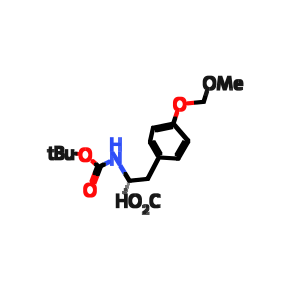 COCOc1ccc(C[C@@H](NC(=O)OC(C)(C)C)C(=O)O)cc1